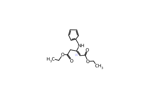 CCOC(=O)/C=C(/CC(=O)OCC)Nc1ccccc1